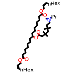 CCCCCC/C=C\COC(=O)CCCCCCCC(CCCCCCCC(=O)OC/C=C\CCCCCC)OC(=O)CC(C)(C)CC(C)(C)CCN(C)C(C)C